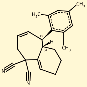 Cc1cc(C)c([C@@H]2C=CCC(C#N)(C#N)C3=CCCC[C@H]32)c(C)c1